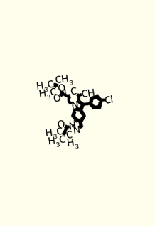 CC(C)c1c(-c2ccc(Cl)cc2)c2cc3cnn(C(=O)C(C)(C)C)c3cc2n1CCC(=O)OC(C)(C)C